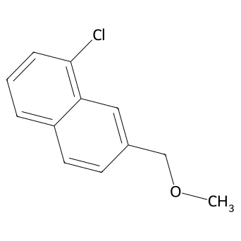 COCc1ccc2cccc(Cl)c2c1